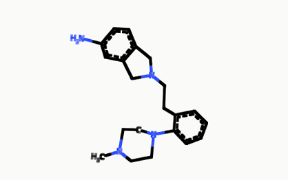 CN1CCN(c2ccccc2CCN2Cc3ccc(N)cc3C2)CC1